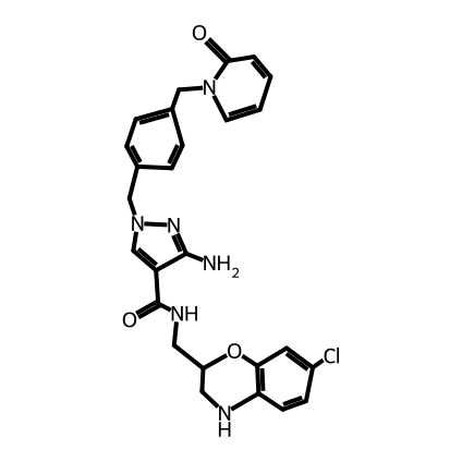 Nc1nn(Cc2ccc(Cn3ccccc3=O)cc2)cc1C(=O)NCC1CNc2ccc(Cl)cc2O1